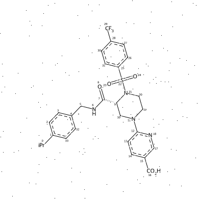 CC(C)c1ccc(CNC(=O)[C@H]2CN(c3ccc(C(=O)O)cn3)CCN2S(=O)(=O)c2ccc(C(F)(F)F)cc2)cc1